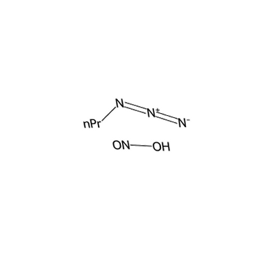 CCCN=[N+]=[N-].O=NO